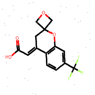 O=C(O)/C=C1\CC2(COC2)Oc2cc(C(F)(F)F)ccc21